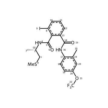 CSC[C@H](C)NC(=O)c1c(I)cccc1C(=O)Nc1ccc(OC(F)(F)F)cc1C